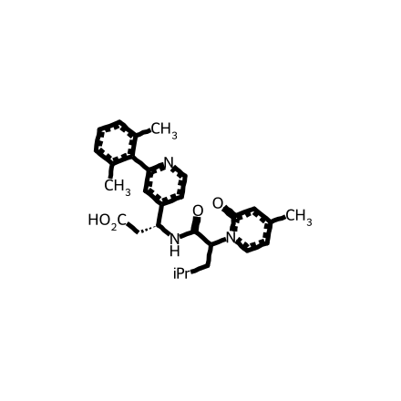 Cc1ccn(C(CC(C)C)C(=O)N[C@H](CC(=O)O)c2ccnc(-c3c(C)cccc3C)c2)c(=O)c1